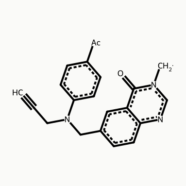 C#CCN(Cc1ccc2ncn([CH2])c(=O)c2c1)c1ccc(C(C)=O)cc1